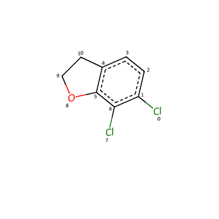 Clc1ccc2c(c1Cl)OCC2